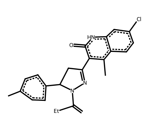 C=C(CC)N1N=C(c2c(C)c3ccc(Cl)cc3[nH]c2=O)CC1c1ccc(C)cc1